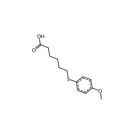 COc1ccc(SCCCCCC(=O)O)cc1